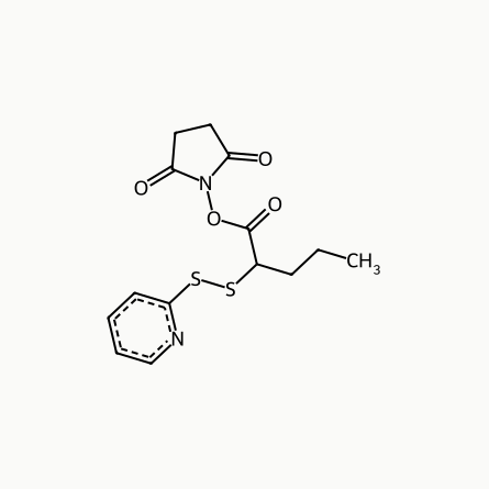 CCCC(SSc1ccccn1)C(=O)ON1C(=O)CCC1=O